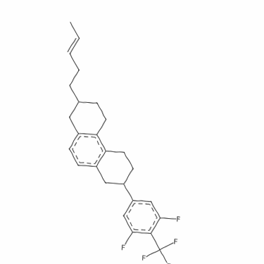 CC=CCCC1CCc2c(ccc3c2CCC(c2cc(F)c(C(F)(F)F)c(F)c2)C3)C1